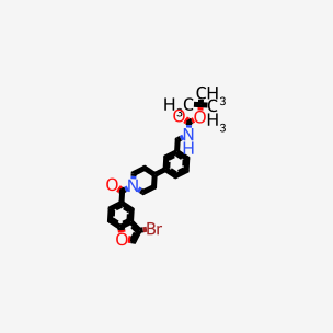 CC(C)(C)OC(=O)NCc1cccc(C2CCN(C(=O)c3ccc4occ(Br)c4c3)CC2)c1